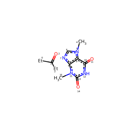 CCC(=O)CC.Cn1cnc2c1c(=O)[nH]c(=O)n2C